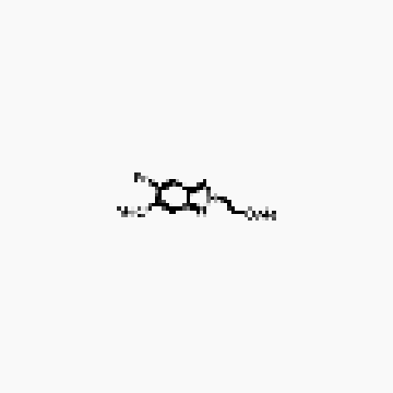 COCCn1cc2cc(Br)c(OC)cc2n1